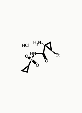 CC[C@@H]1C[C@]1(N)C(=O)NS(=O)(=O)C1CC1.Cl